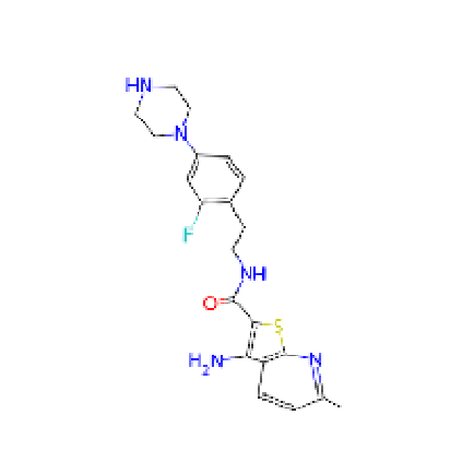 Cc1ccc2c(N)c(C(=O)NCCc3ccc(N4CCNCC4)cc3F)sc2n1